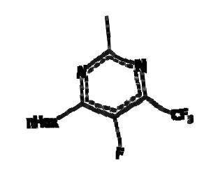 CCCCCCc1nc(C)nc(C(F)(F)F)c1F